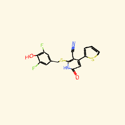 N#Cc1c(-c2cccs2)cc(=O)[nH]c1SCc1cc(F)c(O)c(F)c1